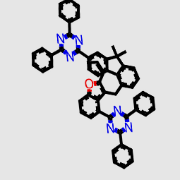 C/C=C\c1oc2cccc(-c3nc(-c4ccccc4)nc(-c4ccccc4)n3)c2c1Cc1cccc2c1-c1ccc(-c3nc(-c4ccccc4)nc(-c4ccccc4)n3)cc1C2(C)C